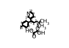 CN(C)CC=C(c1ccc(I)cc1)c1cccnc1.O=C(O)C(=O)O